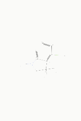 CN1CC(C)(C)c2c(F)cccc21